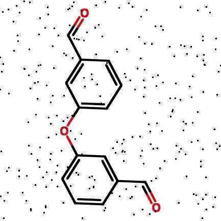 O=Cc1cccc(Oc2cccc(C=O)c2)c1